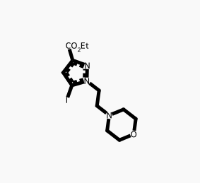 CCOC(=O)c1cc(I)n(CCN2CCOCC2)n1